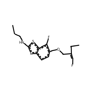 CCCNc1nc2ccc(OC/C(=C\F)CC)c(F)c2s1